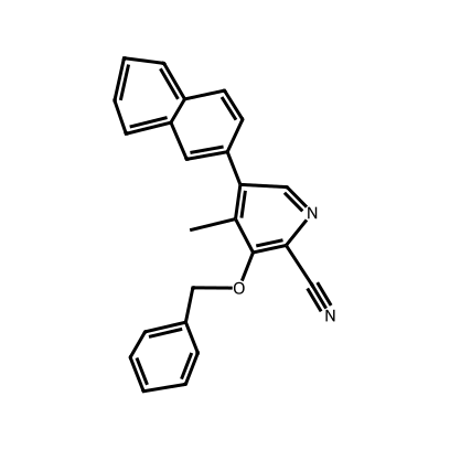 Cc1c(-c2ccc3ccccc3c2)cnc(C#N)c1OCc1ccccc1